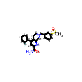 C[S+]([O-])c1cccc(CN2CCc3c(-c4ccccc4F)cc(C(N)=O)nc3C2)c1